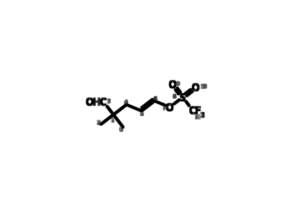 CC(C)(C=O)CC=COS(=O)(=O)C(F)(F)F